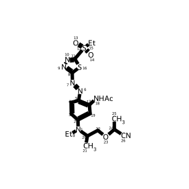 CCN(c1ccc(/N=N/c2nnc(S(=O)(=O)CC)s2)c(NC(C)=O)c1)C(C)COC(C)C#N